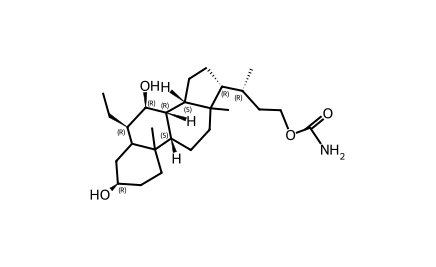 CC[C@@H]1C2C[C@H](O)CCC2(C)[C@H]2CCC3(C)[C@@H]([C@H](C)CCOC(N)=O)CC[C@H]3[C@H]2[C@@H]1O